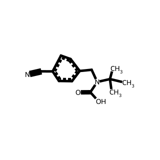 CC(C)(C)N(Cc1ccc(C#N)cc1)C(=O)O